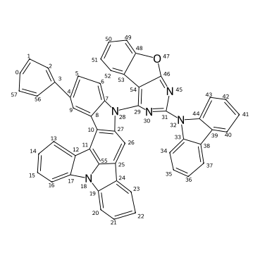 c1ccc(-c2ccc3c(c2)c2c4c5ccccc5n5c6ccccc6c(cc2n3-c2nc(-n3c6ccccc6c6ccccc63)nc3oc6ccccc6c23)c45)cc1